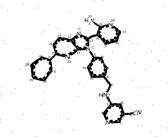 N#Cc1cncc(NCc2ccc(-n3c(-c4cccnc4N)nc4ccc(-c5ccccc5)nc43)cc2)c1